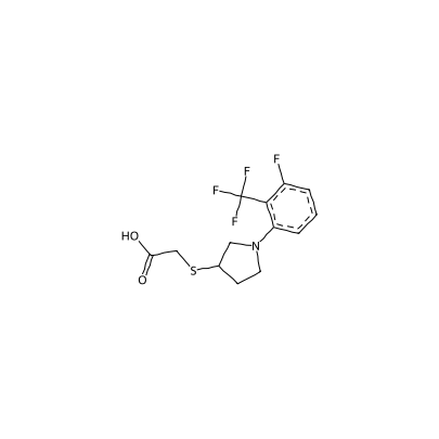 O=C(O)CSC1CCN(c2cccc(F)c2C(F)(F)F)C1